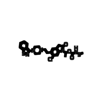 CSNC(=O)OC(C)N1C(=O)Cc2cc(CCN3CCN(c4nsc5ccccc45)CC3)c(Cl)cc21